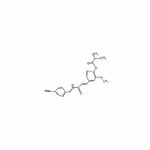 COc1cc(/C=C/C(=O)NCc2ccc(C#N)cc2)ccc1OC(=O)C(C)C